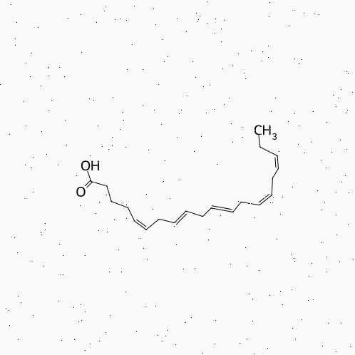 CC/C=C\C/C=C\C/C=C/C/C=C/C/C=C\CCCC(=O)O